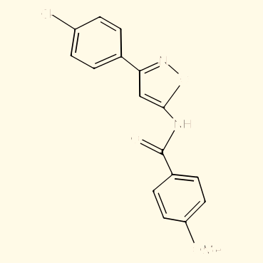 COc1ccc(C(=O)Nc2cc(-c3ccc(Cl)cc3)no2)cc1